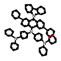 c1ccc(-c2ccc3c(-n4c5ccccc5c5ccccc54)c4cc(-c5ccccc5)ccc4c(N(c4ccc(N(c5ccccc5)c5ccccc5)cc4)c4ccc(N(c5ccccc5)c5ccccc5)cc4)c3c2)cc1